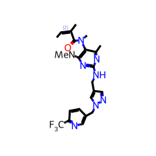 C/C=C(/C)C(=O)N(C)c1c(C)nc(NCc2cnn(Cc3ccc(C(F)(F)F)nc3)c2)nc1NC